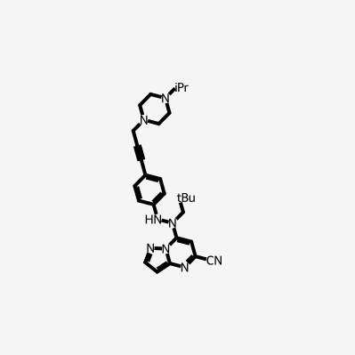 CC(C)N1CCN(CC#Cc2ccc(NN(CC(C)(C)C)c3cc(C#N)nc4ccnn34)cc2)CC1